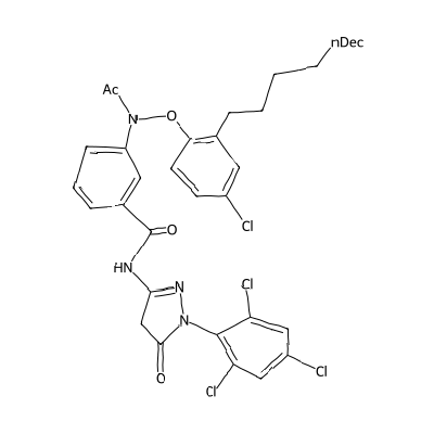 CCCCCCCCCCCCCCc1cc(Cl)ccc1ON(C(C)=O)c1cccc(C(=O)NC2=NN(c3c(Cl)cc(Cl)cc3Cl)C(=O)C2)c1